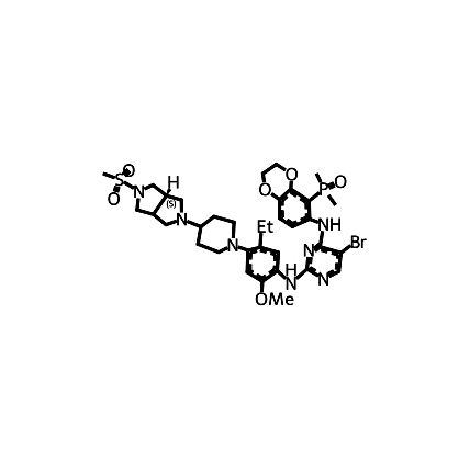 CCc1cc(Nc2ncc(Br)c(Nc3ccc4c(c3P(C)(C)=O)OCCO4)n2)c(OC)cc1N1CCC(N2CC3CN(S(C)(=O)=O)C[C@@H]3C2)CC1